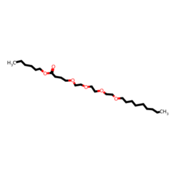 CCCCCCCCCOCCOCCOCCOCCCC(=O)OCCCCCC